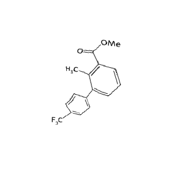 COC(=O)c1cccc(-c2ccc(C(F)(F)F)cc2)c1C